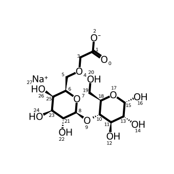 O=C([O-])COC[C@H]1O[C@@H](O[C@H]2[C@H](O)[C@@H](O)[C@@H](O)O[C@@H]2CO)[C@H](O)[C@@H](O)[C@H]1O.[Na+]